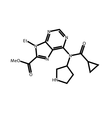 CCn1c(C(=O)OC)nc2c(N(C(=O)C3CC3)C3CCNC3)ncnc21